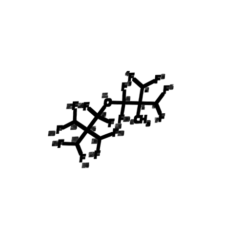 CC(C(F)F)(C(F)F)C(F)(F)OC(F)(F)C(C(F)F)(C(F)F)C(F)F